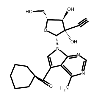 C#C[C@]1(O)[C@H](O)[C@@H](CO)O[C@H]1n1cc(C(=O)C2CCCCC2)c2c(N)ncnc21